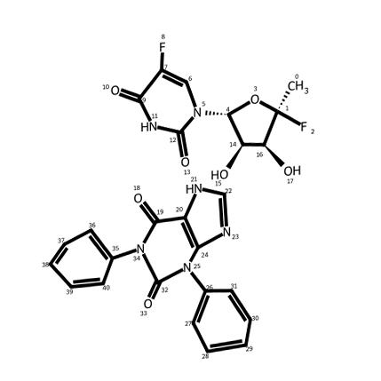 C[C@@]1(F)O[C@@H](n2cc(F)c(=O)[nH]c2=O)[C@H](O)[C@@H]1O.O=c1c2[nH]cnc2n(-c2ccccc2)c(=O)n1-c1ccccc1